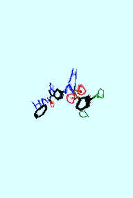 Cn1cc(C(=O)Nc2ccccc2)c2ccc(NS(=O)(=O)c3cc(Cl)cc(Cl)c3)cc21